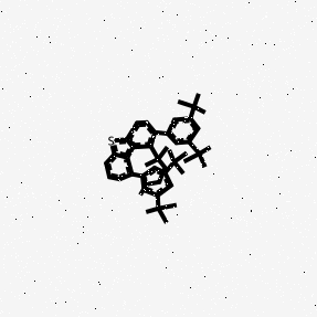 CCCCC(C)(C)c1c(-c2cc(C(C)(C)C)cc(C(C)(C)C)c2)ccc2sc3cccc(-c4cc(C(C)(C)C)cc(C(C)(C)C)c4)c3c12